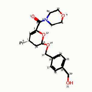 CC(C)[C@@H]1C=C(C(=O)N2CCOCC2)OC(OCc2ccc(CO)cc2)C1